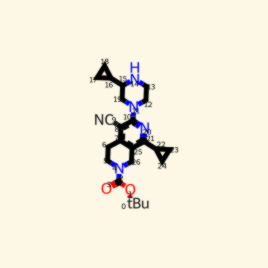 CC(C)(C)OC(=O)N1CCc2c(C#N)c(N3CCNC(C4CC4)C3)nc(C3CC3)c2C1